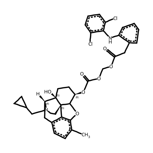 Cc1ccc2c3c1OC1[C@H](OC(=O)OCOC(=O)Cc4ccccc4Nc4c(Cl)cccc4Cl)CC[C@@]4(O)[C@@H](C2)N(CC2CC2)CC[C@]314